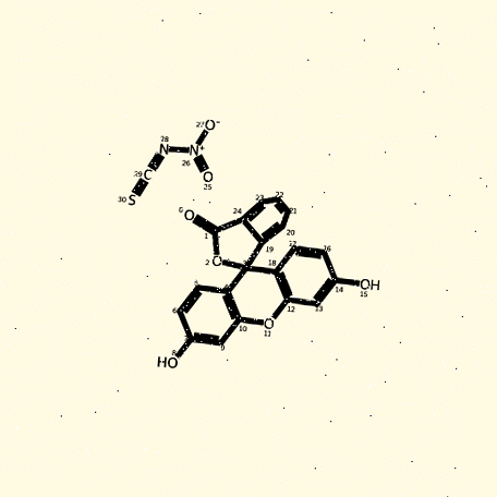 O=C1OC2(c3ccc(O)cc3Oc3cc(O)ccc32)c2ccccc21.O=[N+]([O-])N=C=S